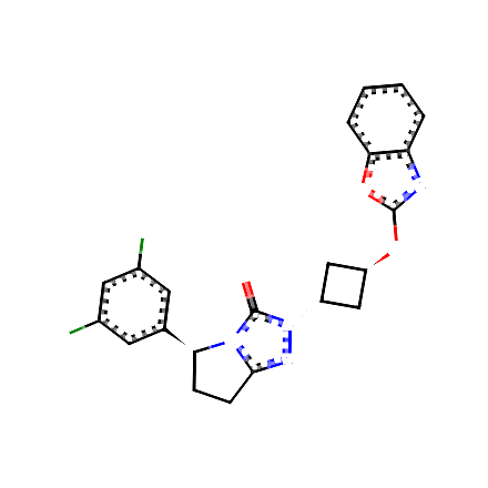 O=c1n2c(nn1[C@H]1C[C@H](Oc3nc4ccccc4o3)C1)CC[C@H]2c1cc(F)cc(F)c1